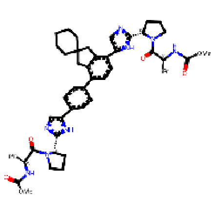 COC(=O)N[C@H](C(=O)N1CCC[C@H]1c1ncc(-c2ccc(-c3ccc(-c4cnc([C@@H]5CCCN5C(=O)[C@@H](NC(=O)OC)C(C)C)[nH]4)c4c3CC3(CCCCC3)C4)cc2)[nH]1)C(C)C